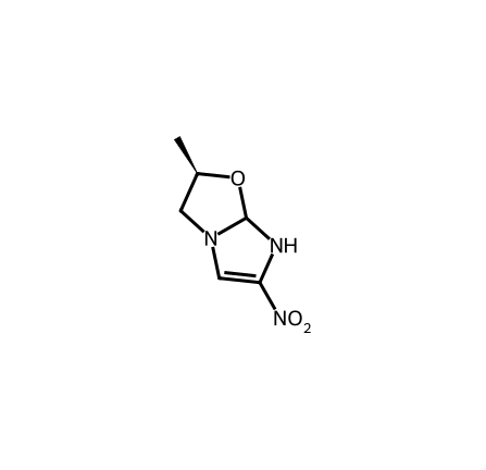 C[C@@H]1CN2C=C([N+](=O)[O-])NC2O1